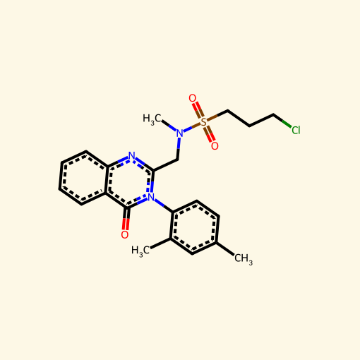 Cc1ccc(-n2c(CN(C)S(=O)(=O)CCCCl)nc3ccccc3c2=O)c(C)c1